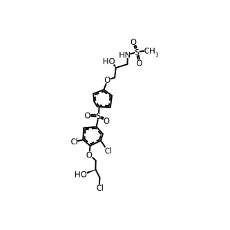 CS(=O)(=O)NC[C@H](O)COc1ccc(S(=O)(=O)c2cc(Cl)c(OC[C@H](O)CCl)c(Cl)c2)cc1